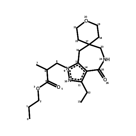 CCCOC(=O)C(C)Cn1nc(CC)c2c1CC1(CCOCC1)CNC2=O